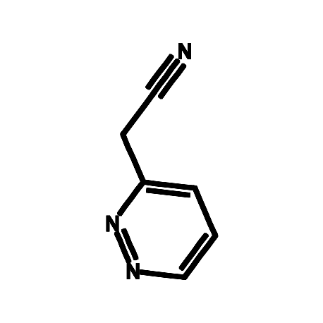 N#CCc1cccnn1